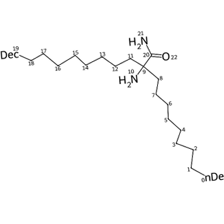 CCCCCCCCCCCCCCCCCCC(N)(CCCCCCCCCCCCCCCCCC)C(N)=O